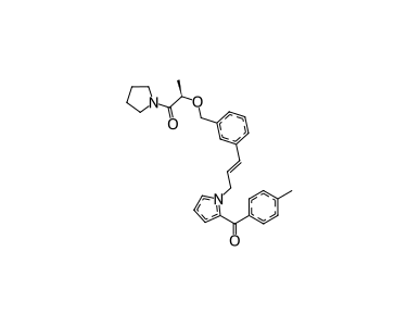 Cc1ccc(C(=O)c2cccn2C/C=C/c2cccc(CO[C@H](C)C(=O)N3CCCC3)c2)cc1